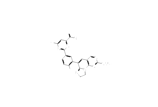 CNc1ncc2c(n1)N1CCN=C1C(c1cc(-c3nc(C(N)=O)cc(C(F)(F)F)n3)ccc1C)=C2